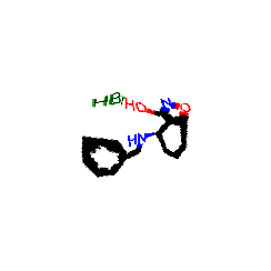 Br.Oc1noc2c1[C@H](NCc1ccccc1)CCC2